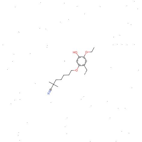 CCOc1cc(CC)c(OCCCCCC(C)(C)C#N)cc1O